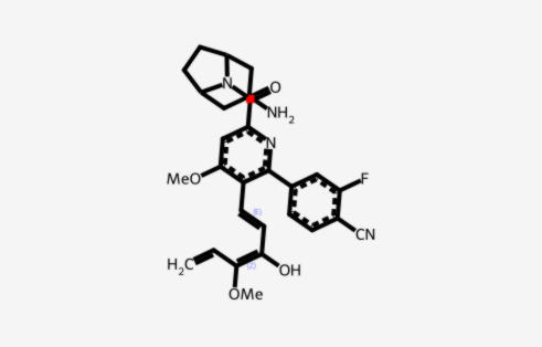 C=C/C(OC)=C(O)\C=C\c1c(OC)cc(C(=O)N2C3CCC2CC(N)C3)nc1-c1ccc(C#N)c(F)c1